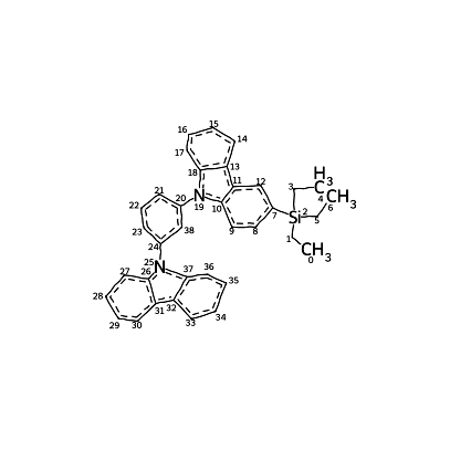 CC[Si](CC)(CC)c1ccc2c(c1)c1ccccc1n2-c1cccc(-n2c3ccccc3c3ccccc32)c1